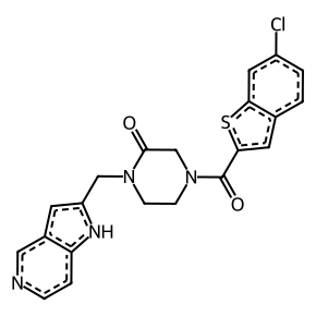 O=C1CN(C(=O)c2cc3ccc(Cl)cc3s2)CCN1Cc1cc2cnccc2[nH]1